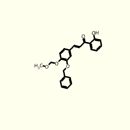 COCOc1ccc(/C=C/C(=O)c2ccccc2O)cc1OCc1ccccc1